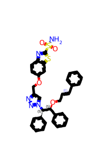 NS(=O)(=O)c1nc2ccc(OCc3cn([C@@H](c4ccccc4)[C@@H](OC/C=C/c4ccccc4)c4ccccc4)nn3)cc2s1